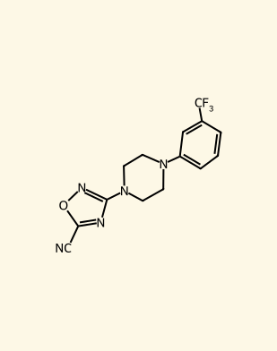 N#Cc1nc(N2CCN(c3cccc(C(F)(F)F)c3)CC2)no1